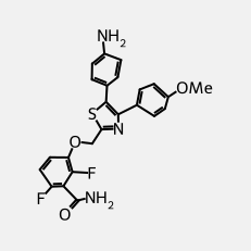 COc1ccc(-c2nc(COc3ccc(F)c(C(N)=O)c3F)sc2-c2ccc(N)cc2)cc1